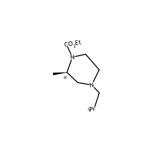 CCOC(=O)N1CCN(C[C](C)C)C[C@H]1C